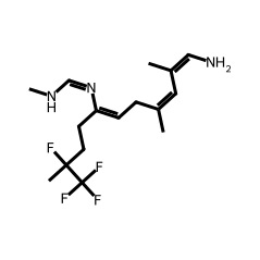 CN/C=N\C(=C/C/C(C)=C\C(C)=C/N)CCC(C)(F)C(F)(F)F